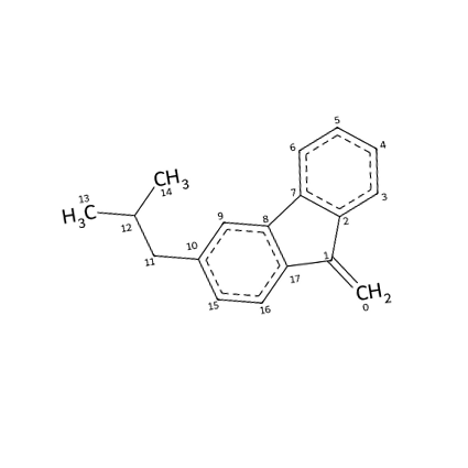 C=C1c2ccccc2-c2cc(CC(C)C)ccc21